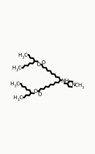 CCCCCCC(CCCC)COC(=O)CCCCCCCCC(CCCCCCCCC(=O)OCC(CCCC)CCCCCC)NCC1CCN(C)CC1